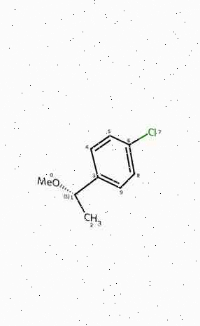 CO[C@@H](C)c1ccc(Cl)cc1